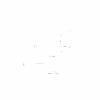 CC12C=CC(CC1)C2.O=C(O)c1ccccc1C(=O)O